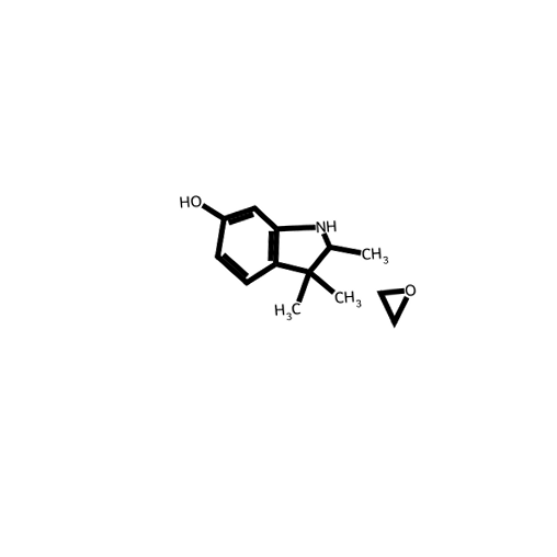 C1CO1.CC1Nc2cc(O)ccc2C1(C)C